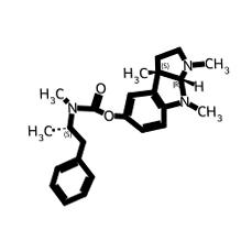 C[C@@H](Cc1ccccc1)N(C)C(=O)Oc1ccc2c(c1)[C@]1(C)CCN(C)[C@@H]1N2C